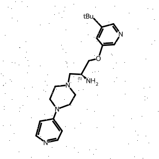 CC(C)(C)c1cncc(OC[C@@H](N)CN2CCN(c3ccncc3)CC2)c1